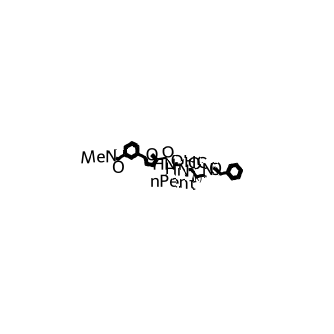 CCCCC[C@H](CN(C=O)OCc1ccccc1)C(=O)NCNC(=O)c1ccc(-c2cccc(C(=O)NC)c2)o1